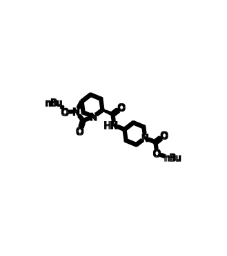 CCCCOC(=O)N1CCC(NC(=O)[C@@H]2CCC3CN2C(=O)N3OCCCC)CC1